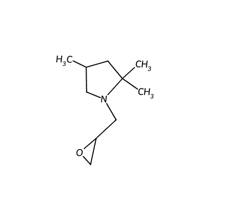 CC1CN(CC2CO2)C(C)(C)C1